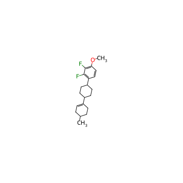 COc1ccc(C2CCC(C3=CCC(C)CC3)CC2)c(F)c1F